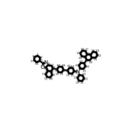 c1ccc(-c2nc3cc(-c4ccc(-c5ccc(N(c6ccccc6)c6ccc(-c7cc8ccccc8c8ccccc78)cc6)cc5)cc4)c4ccccc4c3o2)cc1